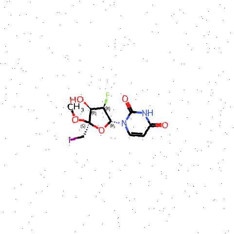 CO[C@]1(CI)O[C@@H](n2ccc(=O)[nH]c2=O)[C@H](F)[C@@H]1O